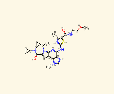 CCn1c(C(=O)N(C2CC2)C2CC2)cc2c3c(ncn3C)c(Nc3nc(C)c(C(=O)NCCOC)s3)nc21